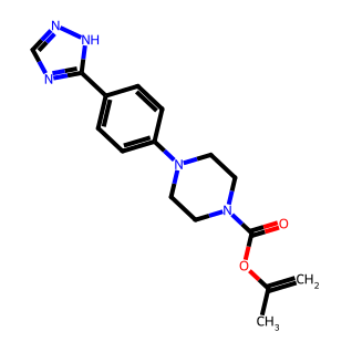 C=C(C)OC(=O)N1CCN(c2ccc(-c3ncn[nH]3)cc2)CC1